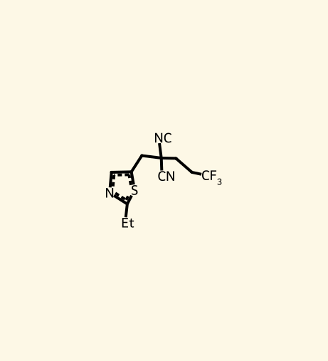 [C-]#[N+]C(C#N)(CCC(F)(F)F)Cc1cnc(CC)s1